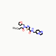 COCCC(=O)N(C[C@H]1CCCO1)c1ncc(C(=O)NCc2ccc3nccn3c2)s1